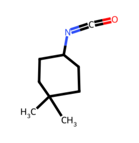 CC1(C)CCC(N=C=O)CC1